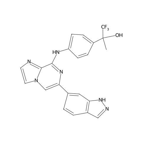 CC(O)(c1ccc(Nc2nc(-c3ccc4cn[nH]c4c3)cn3ccnc23)cc1)C(F)(F)F